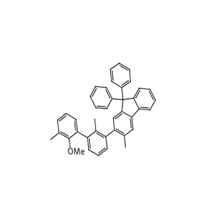 COc1c(C)cccc1-c1cccc(-c2cc3c(cc2C)-c2ccccc2C3(c2ccccc2)c2ccccc2)c1C